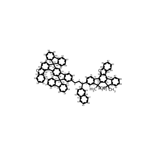 CC1(C)c2cc(C(CCc3ccc4c(c3)C3(c5ccccc5-c5ccccc53)c3cc5c(cc3-4)C3(c4ccccc4-c4ccccc43)c3ccc4oc6ccccc6c4c3-5)c3ccc4ccccc4c3)ccc2-c2c1c1c(c3c2oc2ccccc23)-c2ccccc2C1(C)C